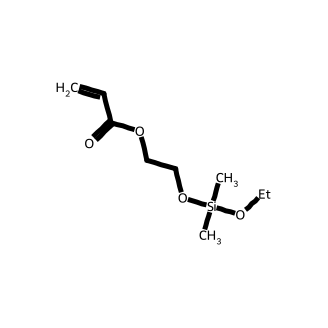 C=CC(=O)OCCO[Si](C)(C)OCC